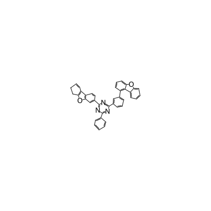 C1=Cc2c(oc3cc(-c4nc(-c5ccccc5)nc(-c5cccc(-c6cccc7oc8ccccc8c67)c5)n4)ccc23)CC1